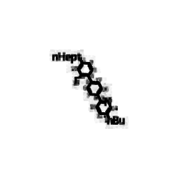 CCCCCCCc1ccc(-c2ccc(-c3ccc(CCCC)cn3)cc2)c(F)c1